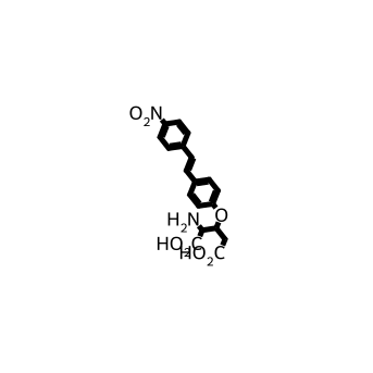 NC(C(=O)O)C(CC(=O)O)Oc1ccc(/C=C/c2ccc([N+](=O)[O-])cc2)cc1